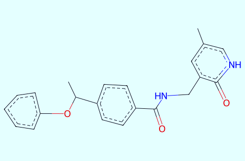 Cc1c[nH]c(=O)c(CNC(=O)c2ccc(C(C)Oc3ccccc3)cc2)c1